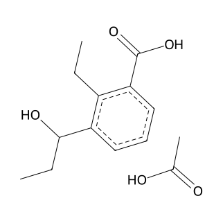 CC(=O)O.CCc1c(C(=O)O)cccc1C(O)CC